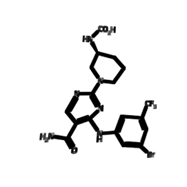 NC(=O)c1cnc(N2CCC[C@H](NC(=O)O)C2)nc1Nc1cc(Br)cc(C(F)(F)F)c1